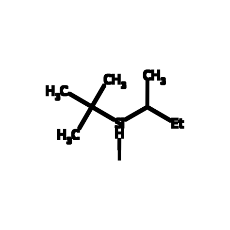 CCC(C)[SiH](I)C(C)(C)C